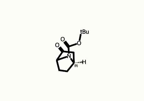 CC(C)(C)OC(=O)N1C2CC[C@@H]1CC2=O